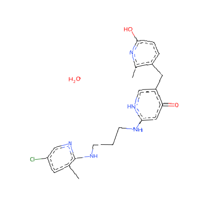 Cc1cc(Cl)cnc1NCCCNc1cc(=O)c(Cc2ccc(O)nc2C)c[nH]1.O